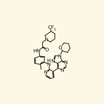 Cc1ccc(NC(=O)CN2CCCC(C(F)(F)F)C2)cc1Nc1ncccc1-c1ncnc2c1ncn2C1CCCCO1